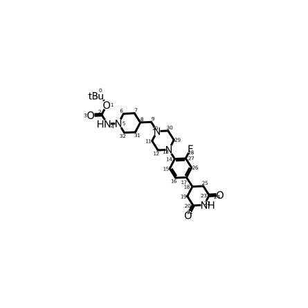 CC(C)(C)OC(=O)NN1CCC(CN2CCN(c3ccc(C4CC(=O)NC(=O)C4)cc3F)CC2)CC1